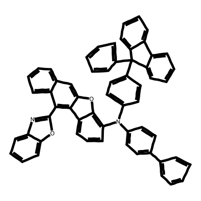 c1ccc(-c2ccc(N(c3ccc(C4(c5ccccc5)c5ccccc5-c5ccccc54)cc3)c3cccc4c3oc3cc5ccccc5c(-c5nc6ccccc6o5)c34)cc2)cc1